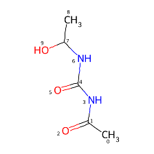 CC(=O)NC(=O)NC(C)O